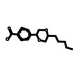 CCCCCC1COC(c2ccc(C(=O)Cl)cc2)CO1